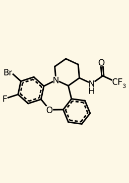 O=C(NC1CCCN2c3cc(Br)c(F)cc3Oc3ccccc3C12)C(F)(F)F